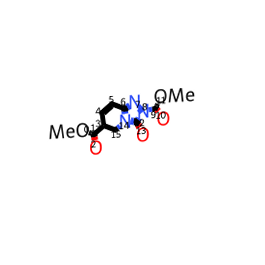 COC(=O)C1C=Cc2nn(C(=O)OC)c(=O)n2C1